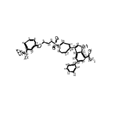 CCN(CC)c1cccc(OCCCS(=O)(=O)N2CCC(c3c[nH]c4c(C(N)=O)cc(-c5ccccc5)cc34)CC2)c1